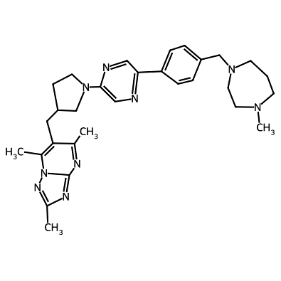 Cc1nc2nc(C)c(CC3CCN(c4cnc(-c5ccc(CN6CCCN(C)CC6)cc5)cn4)C3)c(C)n2n1